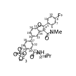 CNC(=O)c1c(-c2ccc(F)cc2)oc2ccc(-c3ccc(OS(=O)(=O)C(F)(F)F)c(C(=O)NCC(C)C)c3)cc12